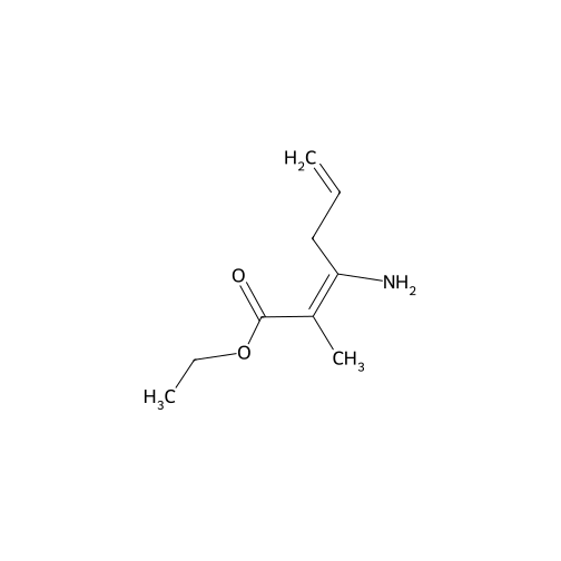 C=CCC(N)=C(C)C(=O)OCC